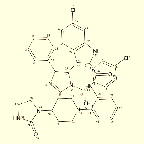 C[C@@H](c1ccc(Cl)cc1)n1cnc(-c2ccccc2)c1-c1c(C(=O)Nc2ccccc2N2CCC(N3CCNC3=O)CC2)[nH]c2cc(Cl)ccc12